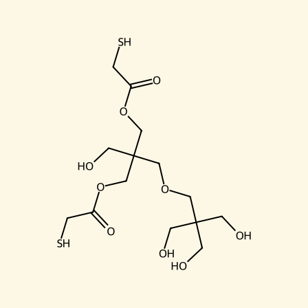 O=C(CS)OCC(CO)(COCC(CO)(CO)CO)COC(=O)CS